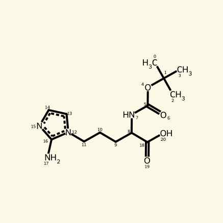 CC(C)(C)OC(=O)NC(CCCn1ccnc1N)C(=O)O